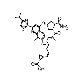 COc1ccc2c(O[C@@H]3C[C@@H](C(N)=O)[C@H](C(=O)N(C)CCCC/C=C\[C@@H]4C[C@@H]4C(=O)O)C3)cc(-c3nc(C(C)C)cs3)nc2c1C